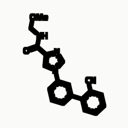 COCNC(=O)c1cn(-c2cccc(-c3ccccc3C#N)c2)cn1